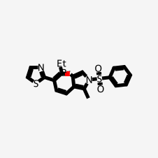 CC/C(C)=C(/C=C\c1c(Br)cn(S(=O)(=O)c2ccccc2)c1C)c1nccs1